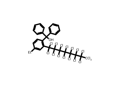 CCc1ccc(C(O)(c2ccccc2)c2ccccc2)c(C(Cl)(Cl)C(Cl)(Cl)C(Cl)(Cl)C(Cl)(Cl)C(Cl)(Cl)C(Cl)(Cl)C(Cl)(Cl)C(Cl)(Cl)Cl)c1